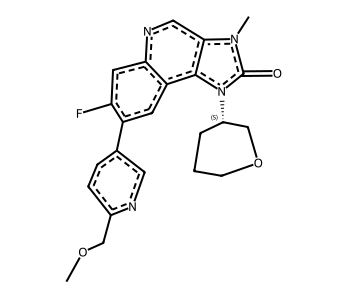 COCc1ccc(-c2cc3c(cc2F)ncc2c3n([C@H]3CCCOC3)c(=O)n2C)cn1